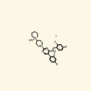 CCC[N+]1(C2CCN(c3ncc(-c4ccc(F)cc4F)c(NCc4ccc(F)cc4F)n3)CC2)CCCCC1.[I-]